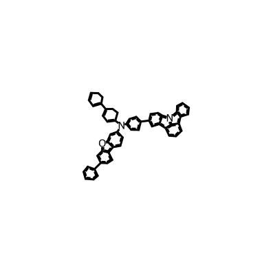 C1=CCCC(C2=CC=C(N(c3ccc(-c4ccc5c(c4)c4cccc6c7ccccc7n5c64)cc3)c3ccc4c(c3)oc3cc(-c5ccccc5)ccc34)CC2)=C1